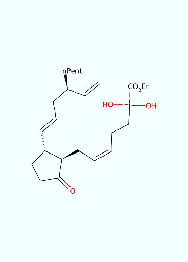 C=C[C@@H](C/C=C/[C@H]1CCC(=O)[C@@H]1C/C=C\CCC(O)(O)C(=O)OCC)CCCCC